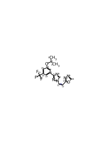 CC(C)Oc1cc(-c2ncn(/C=C\c3nnco3)n2)cc(C(F)(F)F)c1